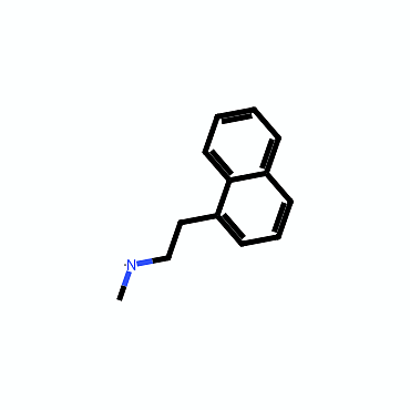 C[N]CCc1cccc2ccccc12